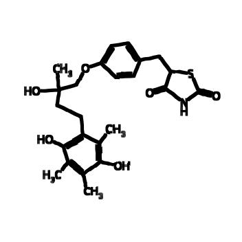 Cc1c(C)c(O)c(CCC(C)(O)COc2ccc(CC3SC(=O)NC3=O)cc2)c(C)c1O